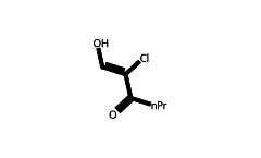 CCCC(=O)/C(Cl)=C/O